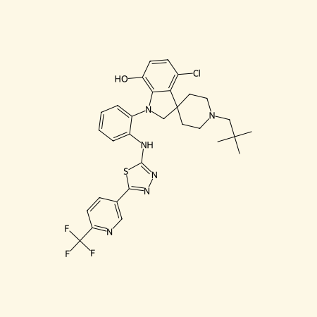 CC(C)(C)CN1CCC2(CC1)CN(c1ccccc1Nc1nnc(-c3ccc(C(F)(F)F)nc3)s1)c1c(O)ccc(Cl)c12